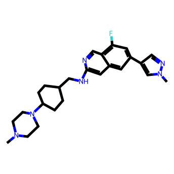 CN1CCN(C2CCC(CNc3cc4cc(-c5cnn(C)c5)cc(F)c4cn3)CC2)CC1